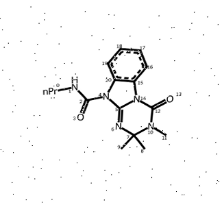 CCCNC(=O)N1C2=NC(C)(C)N(C)C(=O)N2c2ccccc21